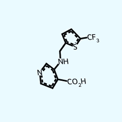 O=C(O)c1ccncc1NCc1ccc(C(F)(F)F)s1